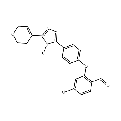 Cn1c(-c2ccc(Oc3cc(Cl)ccc3C=O)cc2)cnc1C1=CCOCC1